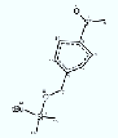 C[S+]([O-])c1ccc(CO[Si](C)(C)C(C)(C)C)cc1